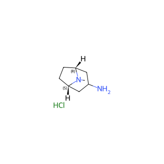 CN1[C@@H]2CC[C@H]1CC(N)C2.Cl